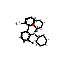 Cc1cccc(C)c1-c1cccc(N)c1P(C1CCCCC1)C1CCCCC1